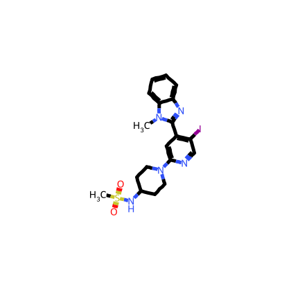 Cn1c(-c2cc(N3CCC(NS(C)(=O)=O)CC3)ncc2I)nc2ccccc21